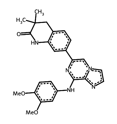 COc1ccc(Nc2nc(-c3ccc4c(c3)NC(=O)C(C)(C)C4)cn3ccnc23)cc1OC